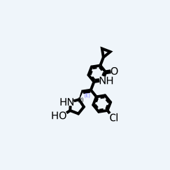 O=c1[nH]c(/C(=C/[C@H]2CCC(O)N2)c2ccc(Cl)cc2)ccc1C1CC1